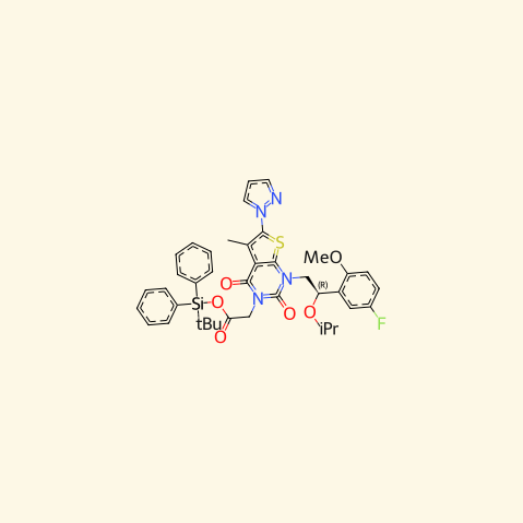 COc1ccc(F)cc1[C@H](Cn1c(=O)n(CC(=O)O[Si](c2ccccc2)(c2ccccc2)C(C)(C)C)c(=O)c2c(C)c(-n3cccn3)sc21)OC(C)C